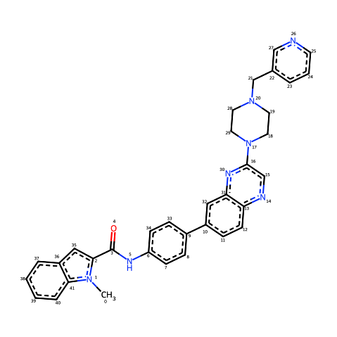 Cn1c(C(=O)Nc2ccc(-c3ccc4ncc(N5CCN(Cc6cccnc6)CC5)nc4c3)cc2)cc2ccccc21